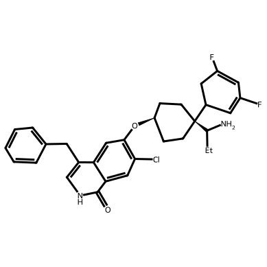 CCC(N)[C@]1(C2C=C(F)C=C(F)C2)CC[C@H](Oc2cc3c(Cc4ccccc4)c[nH]c(=O)c3cc2Cl)CC1